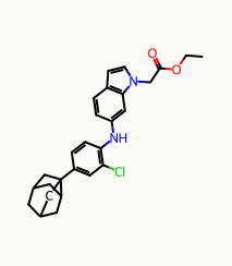 CCOC(=O)Cn1ccc2ccc(Nc3ccc(C45CC6CC(CC4C6)C5)cc3Cl)cc21